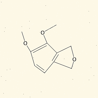 COc1ccc2c(c1OC)COC2